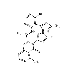 Cc1noc(-c2c(N)ncnc2N[C@@H](C)c2cc3cccc(C)c3c(=O)n2-c2cc(F)[nH]n2)n1